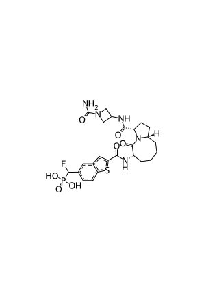 NC(=O)N1CC(NC(=O)[C@@H]2CC[C@@H]3CCCC[C@H](NC(=O)c4cc5cc(C(F)P(=O)(O)O)ccc5s4)C(=O)N32)C1